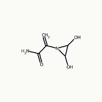 C=C(C(N)=O)N1C(O)C1O